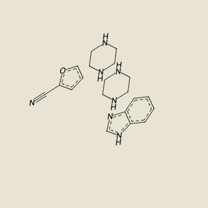 C1CNCCN1.C1CNCCN1.N#Cc1ccco1.c1ccc2[nH]cnc2c1